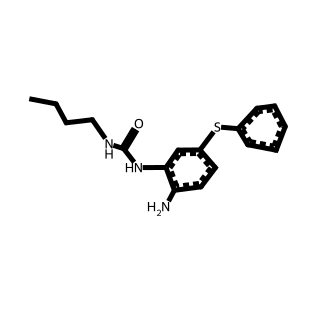 CCCCNC(=O)Nc1cc(Sc2ccccc2)ccc1N